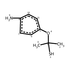 CC(C)(S)Oc1ccc(N)cc1